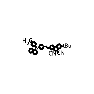 [C-]#[N+]c1c(C#N)c2cc(C(C)(C)C)ccc2c2ccc(C=Cc3ccc(N(c4ccc(C)cc4)c4cccc5ccccc45)cc3)cc12